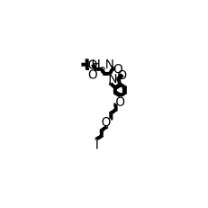 CC(C)(C)OC(=O)CCC(C(N)=O)N1Cc2cc(OCCCCOCCCCI)ccc2C1=O